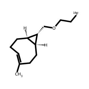 C/C1=C\CC[C@@H]2[C@H](CC1)[C@H]2COCC[18F]